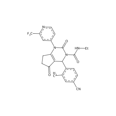 CCNC(=O)N1C(=O)N(c2ccnc(C(F)(F)F)c2)C2=C(C(=O)CC2)C1c1ccc(C#N)cc1C